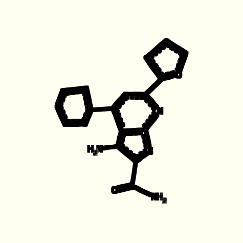 NC(=O)c1sc2nc(-c3ccco3)cc(-c3ccccc3)c2c1N